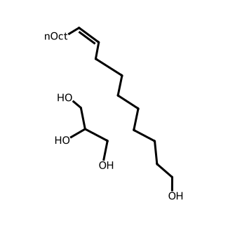 CCCCCCCC/C=C\CCCCCCCCO.OCC(O)CO